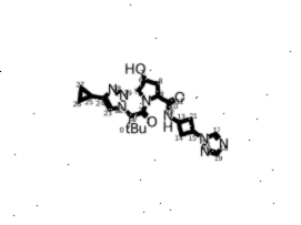 CC(C)(C)[C@@H](C(=O)N1CC(O)CC1C(=O)NC1CC(n2cncn2)C1)n1cc(C2CC2)nn1